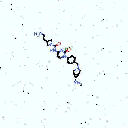 Cl.NCCC1CN(C(=O)Nc2ccn(-c3ccc(CN4CC5C(N)C5C4)cc3)c(=O)n2)C1